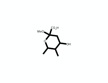 COC1(C(=O)O)CC(O)C(C)C(C)O1